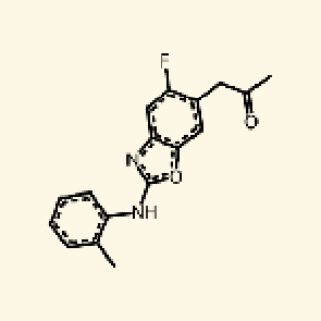 CC(=O)Cc1cc2oc(Nc3ccccc3C)nc2cc1F